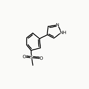 CS(=O)(=O)c1cccc(-c2cn[nH]c2)c1